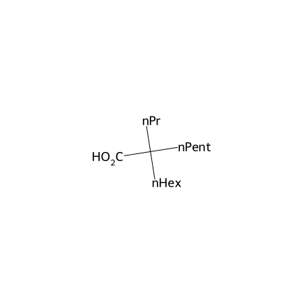 CCCCCCC(CCC)(CCCCC)C(=O)O